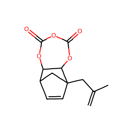 C=C(C)CC12C=CC(C1)C1OC(=O)OC(=O)OC12